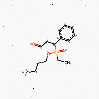 CCCCOP(=O)(CC)C(CC=O)c1ccccc1